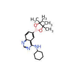 CC1(C)OB(c2ccc3ncnc(NC4CCCCC4)c3c2)OC1(C)C